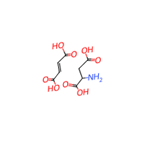 NC(CC(=O)O)C(=O)O.O=C(O)C=CC(=O)O